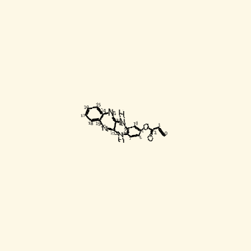 C=CC(=O)Oc1ccc2c(c1)Nc1nc3ccccc3nc1N2